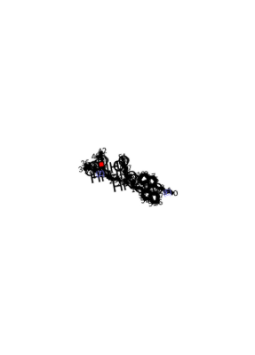 C/C=C/COc1ccc2ccccc2c1-c1c(OCC(=O)N[C@H](CCCCN/C(=N/C(=O)OC(C)(C)C)NC(=O)OC(C)C)C(=O)NCC(=O)OC)ccc2ccccc12